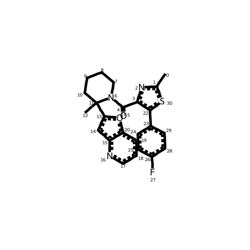 Cc1nc(C(=O)N2CCCCC2(C)c2cc3ncccc3o2)c(-c2ccc(F)cc2)s1